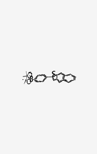 CC1(C)OB(c2ccc(-c3cc4cc5ccccc5cc4s3)cc2)OC1(C)C